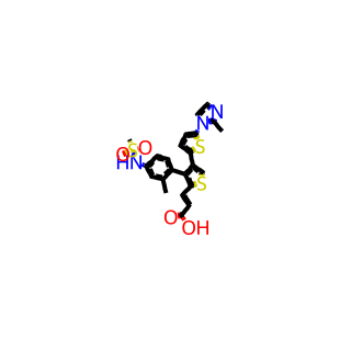 Cc1cc(NS(C)(=O)=O)ccc1-c1c(-c2ccc(-n3ccnc3C)s2)csc1C=CC(=O)O